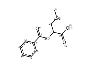 C[Se]CC(OC(=O)c1ccccc1)C(=O)O